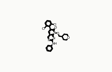 O=c1c(-c2c(Cl)cccc2Cl)cc2cnc(Nc3ccccc3)nc2n1OCC1CCOCC1